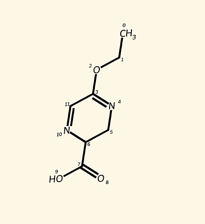 CCOC1=NCC(C(=O)O)N=C1